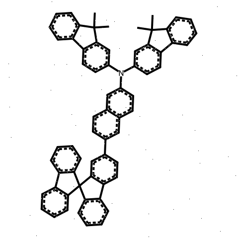 CC1(C)c2ccccc2-c2ccc(N(c3ccc4c(c3)C(C)(C)c3ccccc3-4)c3ccc4cc(-c5ccc6c(c5)C5(c7ccccc7-c7ccccc75)c5ccccc5-6)ccc4c3)cc21